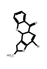 O=C(O)C1CC2=C(O1)C(Br)=CC1C(=O)c3ccccc3OC21